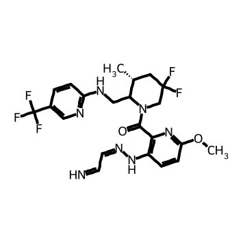 COc1ccc(N/N=C\C=N)c(C(=O)N2CC(F)(F)C[C@@H](C)C2CNc2ccc(C(F)(F)F)cn2)n1